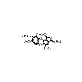 CCCCCc1c(Oc2cc(OC)cc3c2C(=O)OC3CCCC)c(O)cc(O)c1C(=O)O